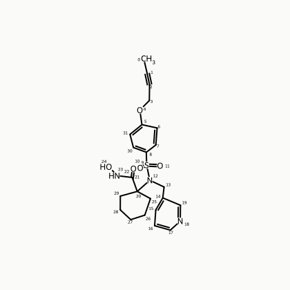 CC#CCOc1ccc(S(=O)(=O)N(Cc2cccnc2)C2(C(=O)NO)CCCCC2)cc1